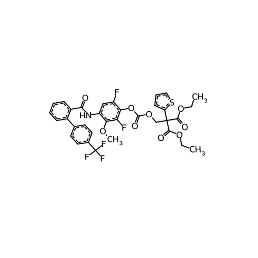 CCOC(=O)C(COC(=O)Oc1c(F)cc(NC(=O)c2ccccc2-c2ccc(C(F)(F)F)cc2)c(OC)c1F)(C(=O)OCC)c1cccs1